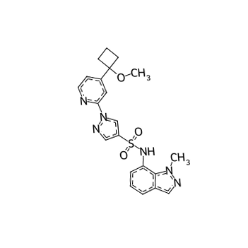 COC1(c2ccnc(-n3cc(S(=O)(=O)Nc4cccc5cnn(C)c45)cn3)c2)CCC1